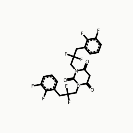 O=C1CC(=O)N(CC(F)(F)Cc2cccc(F)c2F)C(=O)N1CC(F)(F)Cc1cccc(F)c1F